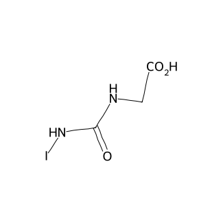 O=C(O)CNC(=O)NI